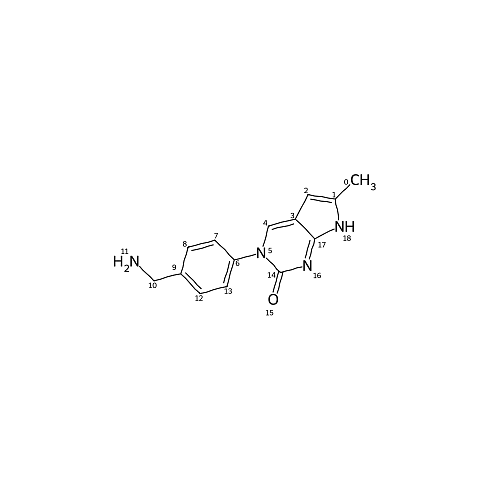 Cc1cc2cn(-c3ccc(CN)cc3)c(=O)nc2[nH]1